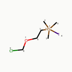 C[SH](C)(C)(I)CCOCCl